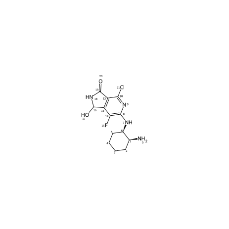 N[C@H]1CCCC[C@H]1Nc1nc(Cl)c2c(c1F)C(O)NC2=O